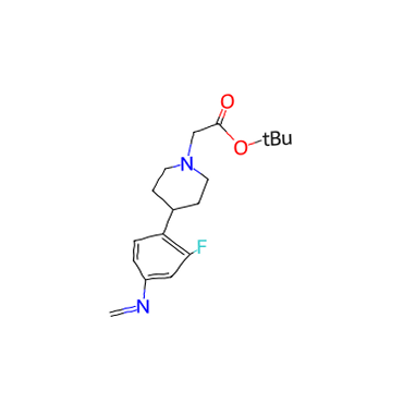 C=Nc1ccc(C2CCN(CC(=O)OC(C)(C)C)CC2)c(F)c1